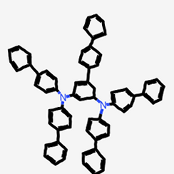 C1=C(c2ccc(-c3ccccc3)cc2)CC(N(c2ccc(-c3ccccc3)cc2)c2ccc(-c3ccccc3)cc2)C=C1N(c1ccc(-c2ccccc2)cc1)c1ccc(-c2ccccc2)cc1